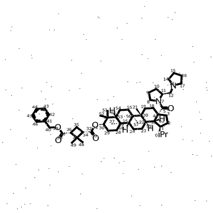 CC(C)[C@@H]1CC[C@]2(C(=O)N3CCC[C@H]3CN3CCCC3)CC[C@]3(C)[C@H](CC[C@@H]4[C@@]5(C)CC[C@H](OC(=O)[C@H]6C[C@@H](C(=O)OCc7ccccc7)C6(C)C)C(C)(C)[C@@H]5CC[C@]43C)[C@@H]12